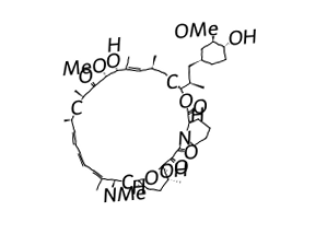 CN[C@@H]1C[C@@H]2CC[C@@H](C)[C@@](O)(O2)C(=O)C(=O)N2CCCC[C@H]2C(=O)O[C@H]([C@H](C)C[C@@H]2CC[C@@H](O)[C@H](OC)C2)CC[C@H](C)/C=C(\C)[C@@H](O)[C@@H](OC)C(=O)[C@H](C)C[C@H](C)/C=C/C=C/C=C/1C